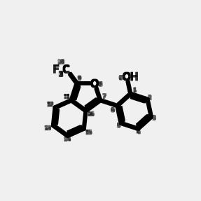 Oc1ccccc1-c1oc(C(F)(F)F)c2ccccc12